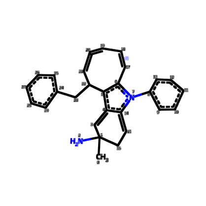 CC1(N)C=c2c3c(n(-c4ccccc4)c2=CC1)/C=C\C=C=CC3Cc1ccccc1